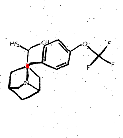 CC(S)N1CC2CC(C1)N2Cc1ccc(OC(F)(F)F)cc1